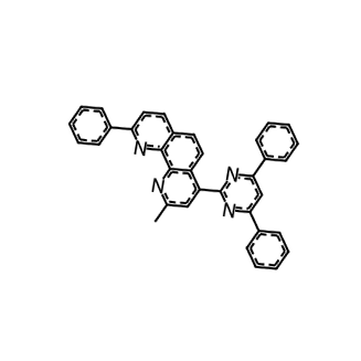 Cc1cc(-c2nc(-c3ccccc3)cc(-c3ccccc3)n2)c2ccc3ccc(-c4ccccc4)nc3c2n1